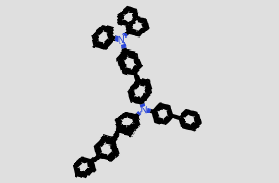 c1ccc(-c2ccc(-c3ccc(N(c4ccc(-c5ccccc5)cc4)c4ccc(-c5ccc(N(c6ccccc6)c6cccc7ccccc67)cc5)cc4)cc3)cc2)cc1